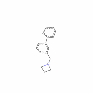 [c]1ccc(-c2ccccc2)cc1CN1CCC1